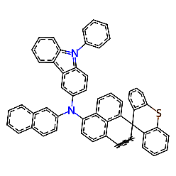 c1ccc(-n2c3ccccc3c3cc(N(c4ccc5ccccc5c4)c4ccc5c6c(cccc46)C4(c6ccccc6Sc6ccccc64)c4ccccc4-5)ccc32)cc1